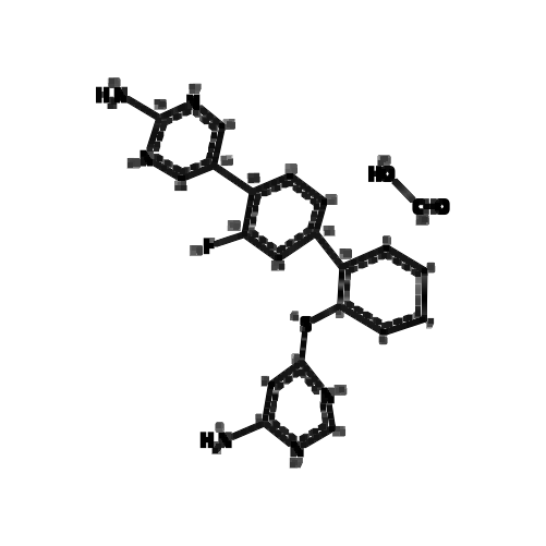 Nc1cc(Sc2ccccc2-c2ccc(-c3cnc(N)nc3)c(F)c2)ncn1.O=CO